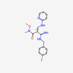 CON(C)C(=O)/C(=C/Nc1ccccn1)C(=N)NCc1ccc(F)cc1